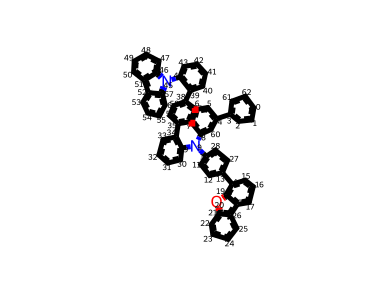 c1ccc(-c2cccc(N(c3ccc(-c4cccc5c4oc4ccccc45)cc3)c3ccccc3-c3ccc(-c4ccccc4-n4c5ccccc5c5ccccc54)cc3)c2)cc1